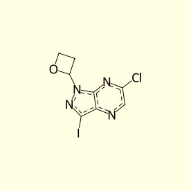 Clc1cnc2c(I)nn(C3CCO3)c2n1